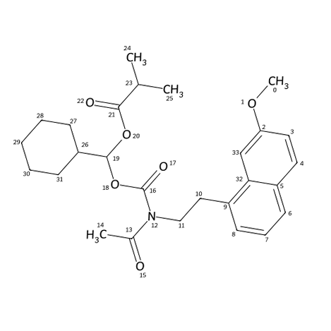 COc1ccc2cccc(CCN(C(C)=O)C(=O)OC(OC(=O)C(C)C)C3CCCCC3)c2c1